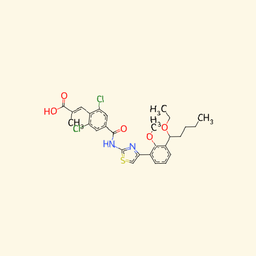 CCCCC(OCC)c1cccc(-c2csc(NC(=O)c3cc(Cl)c(C=C(C)C(=O)O)c(Cl)c3)n2)c1OC